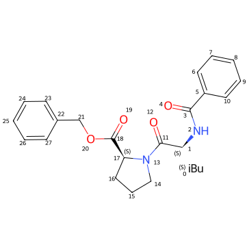 CC[C@H](C)[C@H](NC(=O)c1ccccc1)C(=O)N1CCC[C@H]1C(=O)OCc1ccccc1